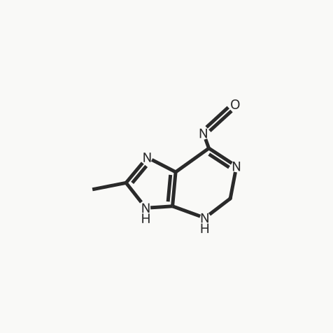 Cc1nc2c([nH]1)NCN=C2N=O